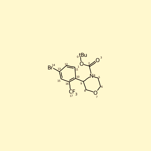 CC(C)(C)OC(=O)N1CCOCC1c1ccc(Br)cc1C(F)(F)F